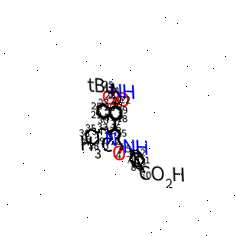 Cn1c(C(=O)NC23CCC(C(=O)O)(CC2)CC3)cc(-c2ccc(S(=O)(=O)NC(C)(C)C)c3ccccc23)c1CC1CCCCC1